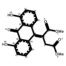 COC(=O)CC(C(=O)OC)=C1c2cccc(O)c2C(=O)c2c(O)cccc21